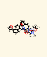 COc1ccc2c(-c3ccco3)cccc2c1CN1C(=O)[C@@H](NC(=O)[C@H](C)N(C)C(=O)OC(C)(C)C)CCc2ccccc21